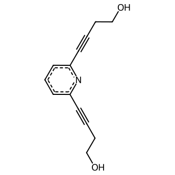 OCCC#Cc1cccc(C#CCCO)n1